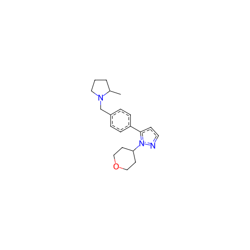 CC1CCCN1Cc1ccc(-c2ccnn2C2CCOCC2)cc1